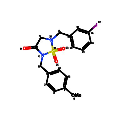 COc1ccc(CN2C(=O)CN(Cc3cccc(I)c3)S2(=O)=O)cc1